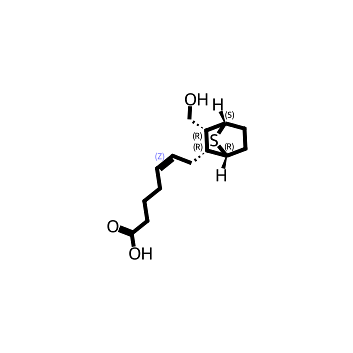 O=C(O)CCC/C=C\C[C@@H]1[C@H](CO)[C@@H]2CC[C@H]1S2